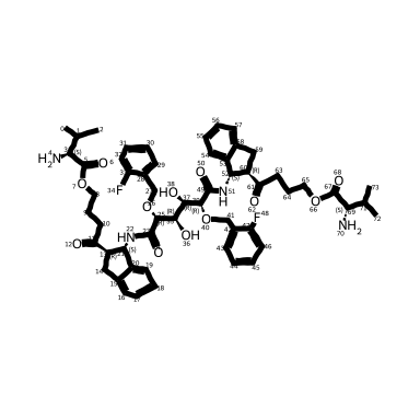 CC(C)[C@H](N)C(=O)OCCCC(=O)[C@@H]1Cc2ccccc2[C@H]1NC(=O)[C@H](OCc1ccccc1F)[C@H](O)[C@@H](O)[C@@H](OCc1ccccc1F)C(=O)N[C@@H]1c2ccccc2C[C@H]1C(=O)CCCOC(=O)[C@@H](N)C(C)C